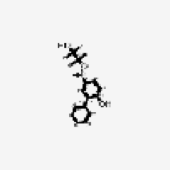 CC(C)(O)C(C)(C)OBc1ccc(O)c(C2=CCCC=C2)c1